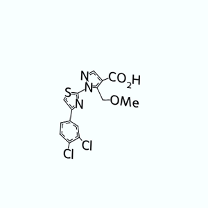 COCc1c(C(=O)O)cnn1-c1nc(-c2ccc(Cl)c(Cl)c2)cs1